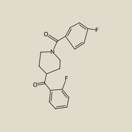 O=C(c1ccccc1F)C1CCN(C(=O)c2ccc(F)cc2)CC1